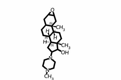 CN1CCN(C2C[C@H]3[C@@H]4CCC5CC6OC6C[C@]5(C)[C@@H]4CC[C@]3(C)C2O)CC1